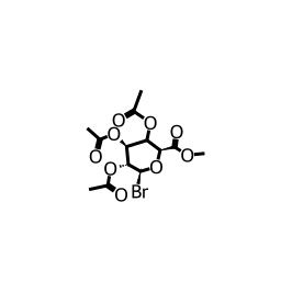 COC(=O)[C@H]1O[C@@H](Br)[C@H](OC(C)=O)[C@@H](OC(C)=O)C1OC(C)=O